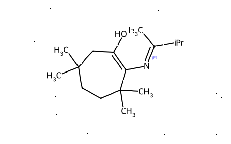 C/C(=N\C1=C(O)CC(C)(C)CCC1(C)C)C(C)C